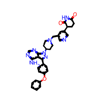 Nc1ncnc2c1c(-c1ccc(Oc3ccccc3)cc1)nn2C1CCN(Cc2cncc(C3CCC(=O)NC3=O)c2)CC1